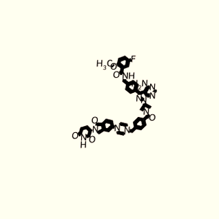 COc1ccc(F)cc1C(=O)NCc1ccc(-c2nn(C3CN(C(=O)c4ccc(CN5CCN(c6ccc7c(c6)CN([C@H]6CCC(=O)NC6=O)C7=O)CC5)cc4)C3)c3ncnc(N)c23)cc1